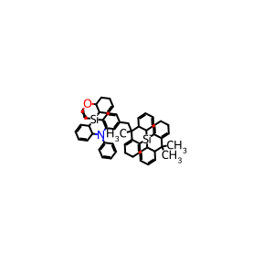 CC1(C)C2=CCCC=C2[Si]2(C3=CCCC=C3C(C)(Cc3ccc4c(c3)N(c3ccccc3)C3C=CC=CC3[Si]43C4=CCCC=C4OC4CCC=CC43)C3C=CC=CC32)C2C=CC=CC21